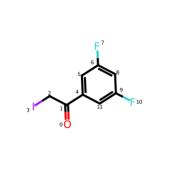 O=C(CI)c1cc(F)cc(F)c1